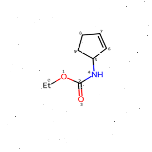 CCOC(=O)NC1C=CCC1